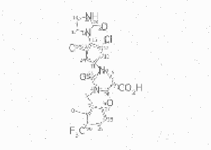 Cc1c(Cn2c(=O)c(C(=O)O)cn(-c3cc(Cl)c(N4CCNC4=O)c(Cl)c3)c2=O)cccc1C(F)(F)F